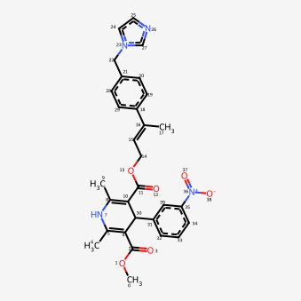 COC(=O)C1=C(C)NC(C)=C(C(=O)OC/C=C(\C)c2ccc(Cn3ccnc3)cc2)C1c1cccc([N+](=O)[O-])c1